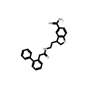 N=C(N)c1ccc2c(c1)C(CCNC(=O)Cc1ccccc1-c1ccccc1)CO2